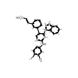 O=C(O)C=Cc1cccc(-c2cnc(Nc3ccc(F)c(Cl)c3)nc2-n2nnc3ccccc32)c1